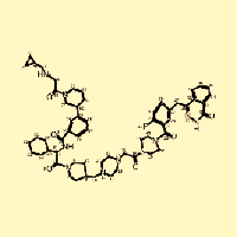 O=C(N[C@@H](C(=O)N1CCC(CN2CCN(CC(=O)N3CCN(C(=O)c4cc(Cc5n[nH]c(=O)c6ccccc56)ccc4F)CC3)CC2)CC1)C1CCCCC1)c1cccc(C2CCCN(C(=O)CNCC3CC3)C2)c1